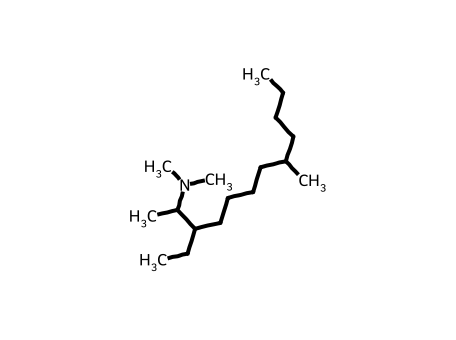 CCCCC(C)CCCCC(CC)C(C)N(C)C